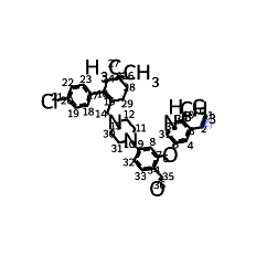 C/C=C\c1cc(Oc2cc(N3CCN(CC4=C(c5ccc(Cl)cc5)CC(C)(C)CC4)CC3)ccc2C=O)cnc1C